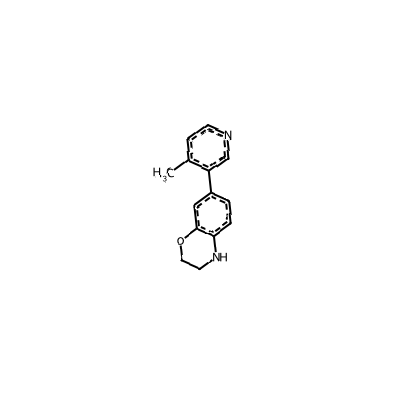 Cc1ccncc1-c1ccc2c(c1)OCCN2